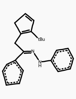 CC(C)(C)C1=C(CC(=NNc2ccccc2)c2ccccc2)CC=C1